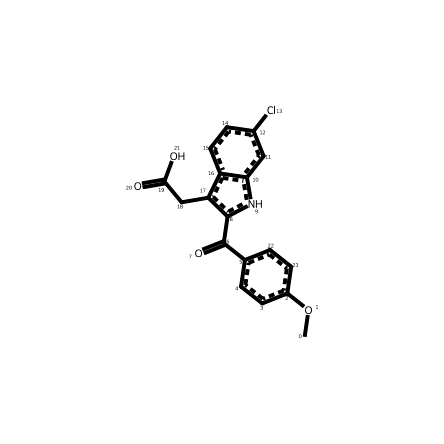 COc1ccc(C(=O)c2[nH]c3cc(Cl)ccc3c2CC(=O)O)cc1